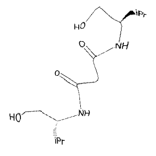 CC(C)[C@H](CO)NC(=O)CC(=O)N[C@@H](CO)C(C)C